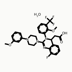 COc1cccc(N2CCN(C3=Nc4c(F)cccc4C(CC(=O)O)N3c3cccc(C(F)(F)F)c3OC)CC2)c1.O